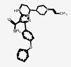 CC=CN1CCC(C2CCNc3c(C(N)=O)c(-c4ccc(Oc5ccccc5)cc4)nn32)CC1